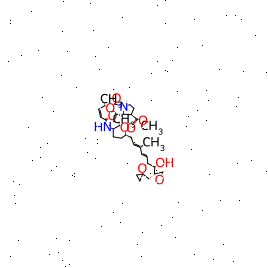 COC(=O)[C@@H]1CCN(C(=O)O[C@@H](C)/C=C\C(=O)N[C@@H]2CC[C@H](C/C=C(C)/C=C/C3OC4(CC4)C[C@@]4(CO4)[C@@H]3O)O[C@@H]2C)C1